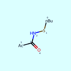 CCCCSNC(=O)C(C)=O